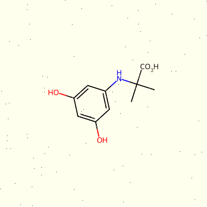 CC(C)(Nc1cc(O)cc(O)c1)C(=O)O